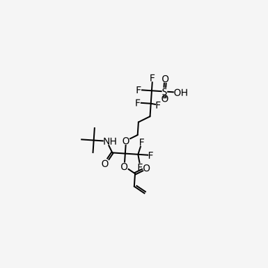 C=CC(=O)OC(OCCCC(F)(F)C(F)(F)S(=O)(=O)O)(C(=O)NC(C)(C)C)C(F)(F)F